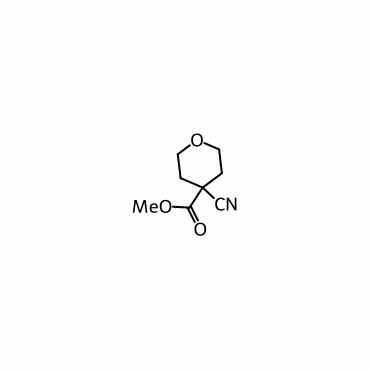 COC(=O)C1(C#N)CCOCC1